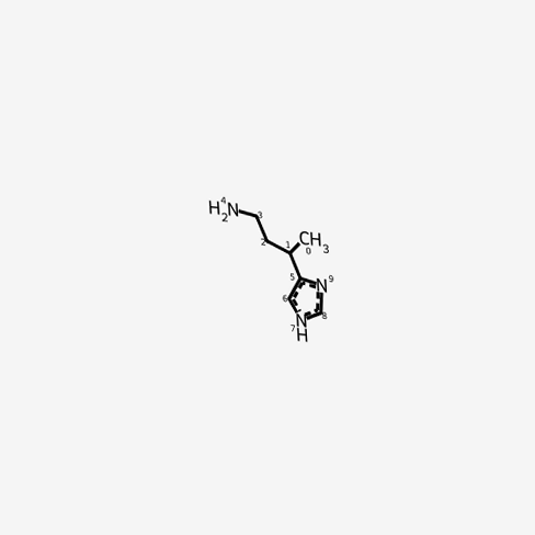 CC(CCN)c1c[nH]cn1